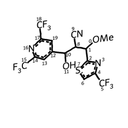 COC(c1nc(C(F)(F)F)cs1)C(C#N)C(O)c1cc(C(F)(F)F)nc(C(F)(F)F)c1